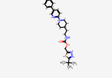 CC(C)(C)c1nnc(COC(=O)NCCC2CCN(c3ccc(-c4ccc(F)cc4)cn3)CC2)s1